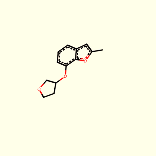 Cc1cc2cccc(OC3CCOC3)c2o1